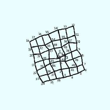 CC12C34C5C6C7CC8C9C%10C%11C%12CC%13C%14C%15C%16C%17CC%18C%19C%20C%21C%22CC%23C5C35C%23%22C%213C%20%21C%19%20C%18%17C%16%17C%15%16C%14%15C%12%13C%11%12C%10%11C9%10C78C64C1%10C%111C4C%21(C253)C%20%17C4%16C%12%151